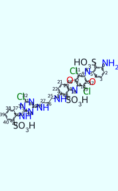 Nc1ccc2c(c1S(=O)(=O)O)N=c1c(Cl)c3c(c(Cl)c1O2)=Nc1c(ccc(NCCCNc2nc(Cl)nc(Nc4ccccc4S(=O)(=O)O)n2)c1S(=O)(=O)O)O3